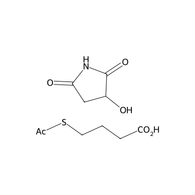 CC(=O)SCCCC(=O)O.O=C1CC(O)C(=O)N1